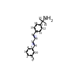 Cc1cccc(/C=C/C=C/c2ccc(C(C)(C)N)cc2)c1